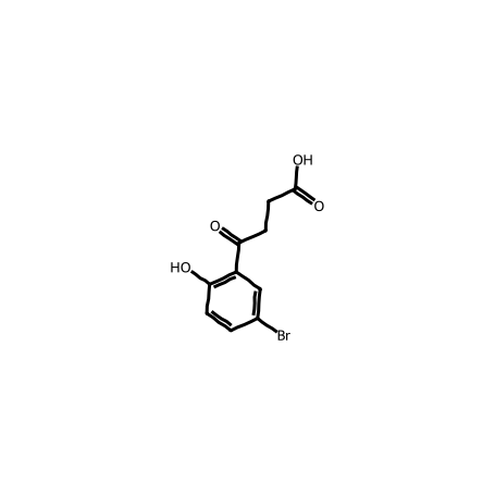 O=C(O)CCC(=O)c1cc(Br)ccc1O